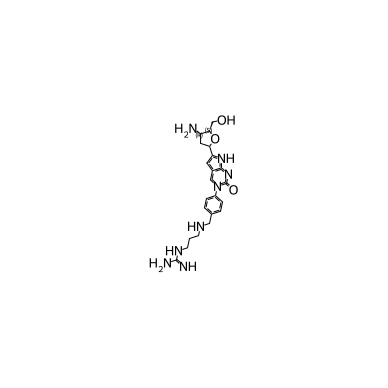 N=C(N)NCCCNCc1ccc(-n2cc3cc(C4C[C@@H](N)[C@@H](CO)O4)[nH]c3nc2=O)cc1